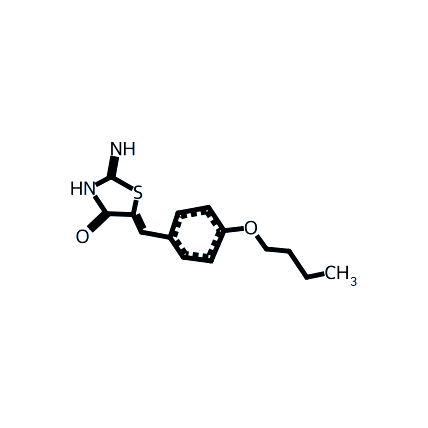 CCCCOc1ccc(/C=C2\SC(=N)NC2=O)cc1